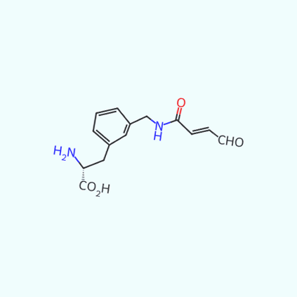 N[C@H](Cc1cccc(CNC(=O)/C=C/C=O)c1)C(=O)O